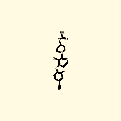 C#Cc1ccc(Oc2ccnc(N3CCC(OC(N)=O)CC3)c2Cl)c(Cl)c1